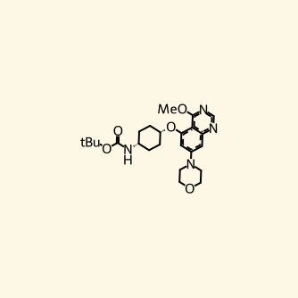 COc1ncnc2cc(N3CCOCC3)cc(O[C@H]3CC[C@@H](NC(=O)OC(C)(C)C)CC3)c12